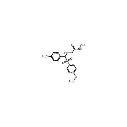 COc1ccc(S(=O)(=O)C(NCC(=O)NO)c2ccc(C)cc2)cc1